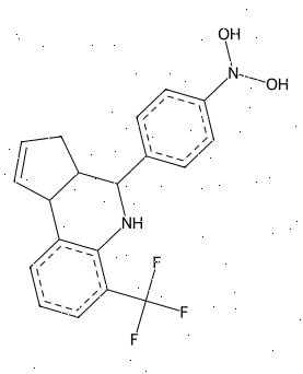 ON(O)c1ccc(C2Nc3c(cccc3C(F)(F)F)C3C=CCC32)cc1